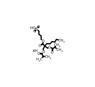 C=C(C)C(=O)OCC(CCCCCC)(COC(=O)C(=C)C)C(=O)OCCCCS(=O)(=O)O.[KH]